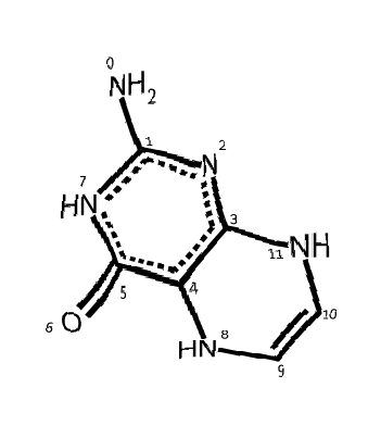 Nc1nc2c(c(=O)[nH]1)NC=CN2